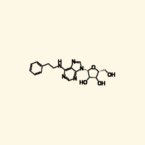 OC[C@H]1O[C@@H](n2cnc3c(NCCc4ccccc4)ncnc32)C(O)C1O